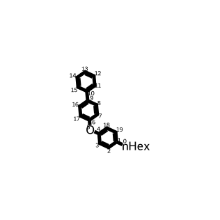 [CH2]CCCCCc1ccc(Oc2ccc(-c3ccccc3)cc2)cc1